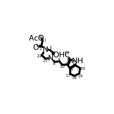 CC(=O)OCC(=O)N1CCN(CCCc2c(C=O)[nH]c3c2CCCC3)CC1